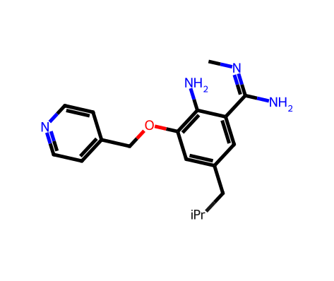 C/N=C(/N)c1cc(CC(C)C)cc(OCc2ccncc2)c1N